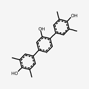 Cc1cc(-c2[c]cc(-c3cc(C)c(O)c(C)c3)c(O)c2)cc(C)c1O